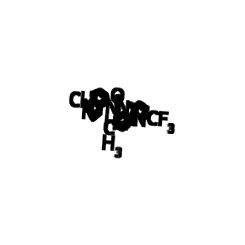 CC1CCN(c2nc(C(F)(F)F)ccc2CNC(=O)Nc2cccc3c(Cl)nccc23)CC1